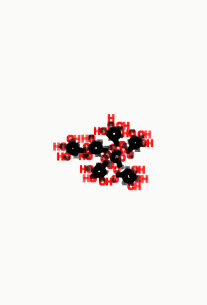 O=C(OCC1OC(OC(=O)c2cc(O)c(O)c(O)c2)C(OC(=O)c2cc(O)c(O)c(O)c2)C(OCc2cc(O)c(OC(=O)c3cc(O)c(O)c(O)c3)c(O)c2)C1OC(=O)c1cc(O)c(O)c(O)c1)c1cc(O)c(O)c(O)c1